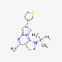 Cc1nc2cc(-c3ccsc3)nn2c2c1CCN2C(C)(C)C